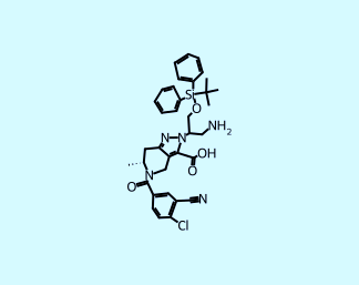 C[C@@H]1Cc2nn(C(CN)CO[Si](c3ccccc3)(c3ccccc3)C(C)(C)C)c(C(=O)O)c2CN1C(=O)c1ccc(Cl)c(C#N)c1